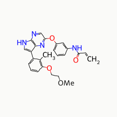 C=CC(=O)Nc1cccc(Oc2cnc3[nH]cc(-c4cccc(OCCOC)c4C)c3n2)c1